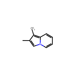 Cc1cn2ccccc2c1C(F)(F)F